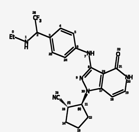 CCNC(c1ccc(Nc2nn([C@H]3CCC[C@@H]3C#N)c3cc[nH]c(=O)c23)cc1)C(F)(F)F